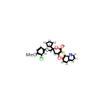 COc1ccc(CCC2(C3CCCC3)CC(O)=C(Sc3cccc4cccnc34)C(=O)O2)cc1Cl